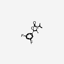 CC(C)N1C(=O)O[C@H](c2cc(F)cc(F)c2)[C@@H]1C